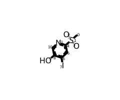 CS(=O)(=O)c1cc(I)c(O)cn1